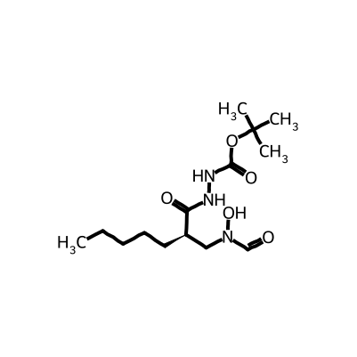 CCCCC[C@H](CN(O)C=O)C(=O)NNC(=O)OC(C)(C)C